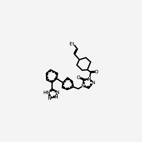 CCC=CC1CCC(C(=O)n2ncn(Cc3ccc(-c4ccccc4-c4nnn[nH]4)cc3)c2=O)CC1